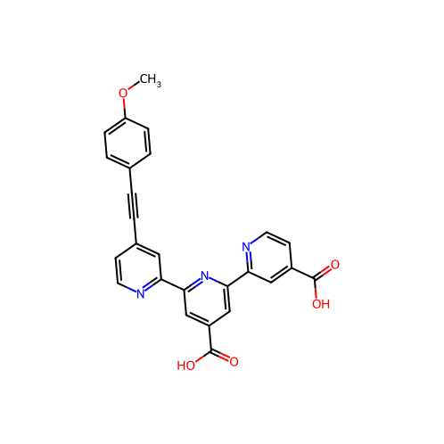 COc1ccc(C#Cc2ccnc(-c3cc(C(=O)O)cc(-c4cc(C(=O)O)ccn4)n3)c2)cc1